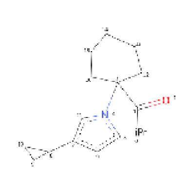 CC(C)C(=O)C1(n2ccc(C3CC3)c2)CCCCC1